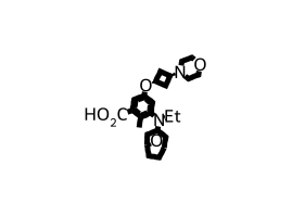 CCN(c1cc(O[C@H]2C[C@H](N3CCOCC3)C2)cc(C(=O)O)c1C)C1CC2CCC(C1)O2